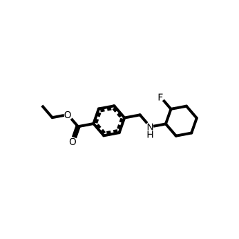 CCOC(=O)c1ccc(CNC2CCCCC2F)cc1